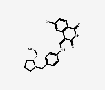 COC[C@H]1CCCN1Cc1ccc(N/C=C2\C(=O)NC(=O)c3ccc(Br)cc32)cc1